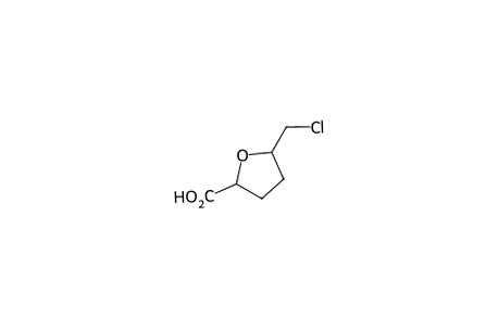 O=C(O)C1CCC(CCl)O1